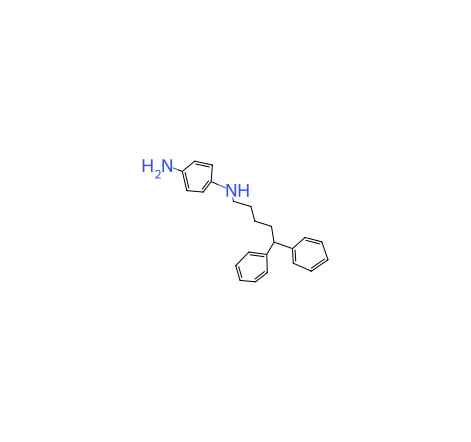 Nc1ccc(NCCCCC(c2ccccc2)c2ccccc2)cc1